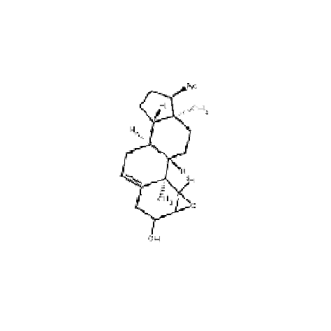 [2H]C12OC1C(O)CC1=CC[C@H]3[C@@H]4CC[C@@H](C(C)=O)[C@@]4(C)CC[C@@H]3[C@]12C